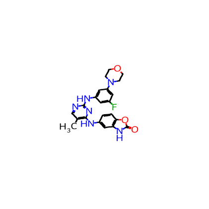 Cc1cnc(Nc2cc(F)cc(N3CCOCC3)c2)nc1Nc1ccc2oc(=O)[nH]c2c1